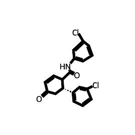 O=C1C=CC(C(=O)Nc2cccc(Cl)c2)[C@H](c2cccc(Cl)c2)C1